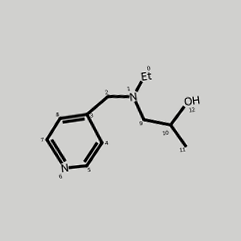 CCN(Cc1ccncc1)CC(C)O